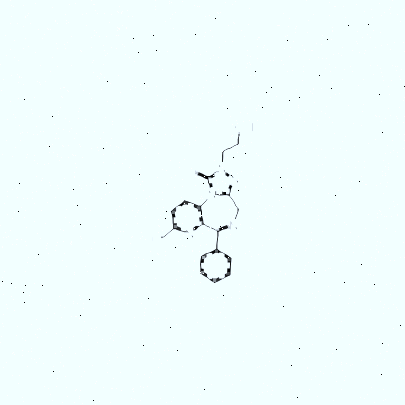 O=c1n(CCO)nc2n1-c1ccc(Cl)nc1C(c1ccccc1)=NC2